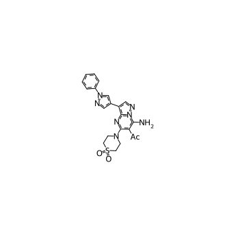 CC(=O)c1c(N2CCS(=O)(=O)CC2)nc2c(-c3cnn(-c4ccccc4)c3)cnn2c1N